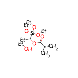 C=C(C)C(=O)OC(CC)[Si](OCC)(OCC)OCC.CCO